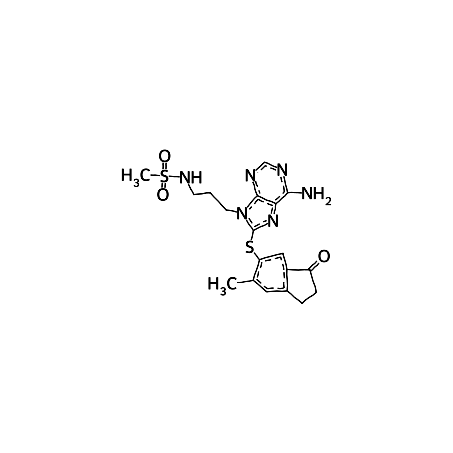 Cc1cc2c(cc1Sc1nc3c(N)ncnc3n1CCCNS(C)(=O)=O)C(=O)CC2